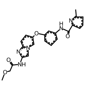 COCC(=O)Nc1cn2cc(Oc3cccc(NC(=O)c4cccc(C)n4)c3)ccc2n1